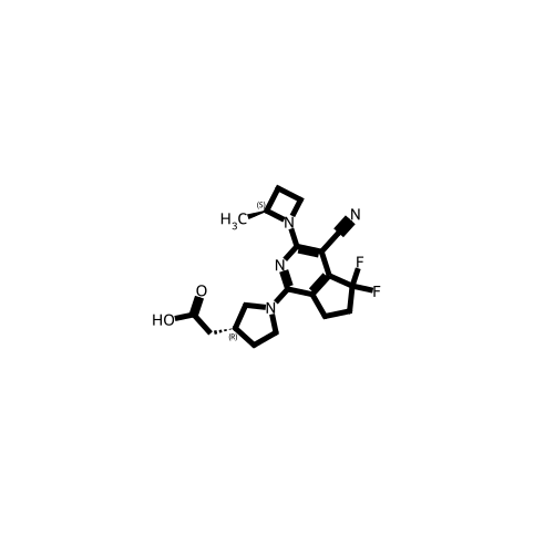 C[C@H]1CCN1c1nc(N2CC[C@H](CC(=O)O)C2)c2c(c1C#N)C(F)(F)CC2